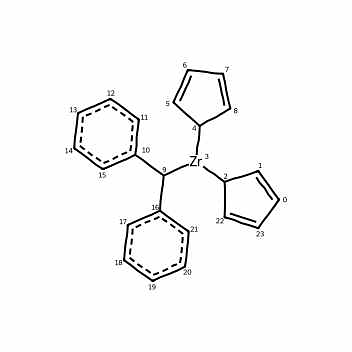 C1=C[CH]([Zr]([CH]2C=CC=C2)[CH](c2ccccc2)c2ccccc2)C=C1